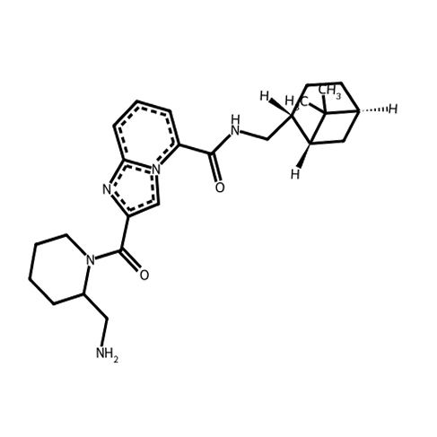 CC1(C)[C@H]2CC[C@@H](CNC(=O)c3cccc4nc(C(=O)N5CCCCC5CN)cn34)[C@H]1C2